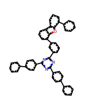 c1ccc(-c2ccc(-c3nc(-c4ccc(-c5ccccc5)cc4)nc(-c4cccc(-c5cccc6c5oc5c(-c7ccccc7)cccc56)c4)n3)cc2)cc1